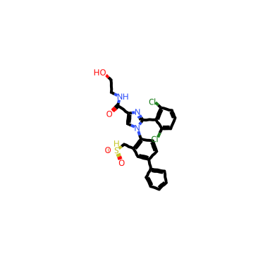 O=C(NCCO)c1cn(-c2ccc(-c3ccccc3)cc2C[SH](=O)=O)c(-c2c(Cl)cccc2Cl)n1